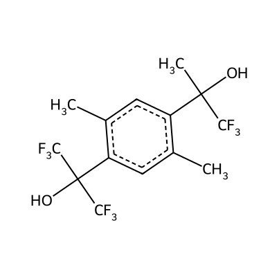 Cc1cc(C(O)(C(F)(F)F)C(F)(F)F)c(C)cc1C(C)(O)C(F)(F)F